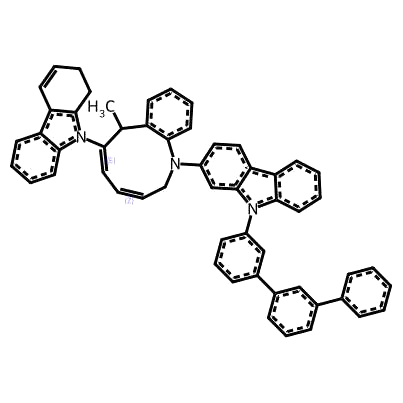 CC1/C(n2c3c(c4ccccc42)C=CCC3)=C\C=C/CN(c2ccc3c4ccccc4n(-c4cccc(-c5cccc(-c6ccccc6)c5)c4)c3c2)c2ccccc21